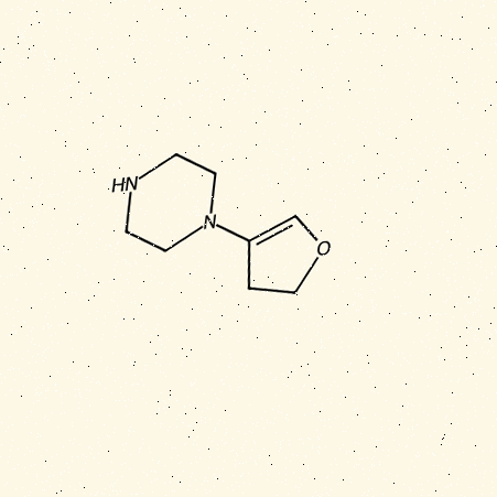 C1=C(N2CCNCC2)CCO1